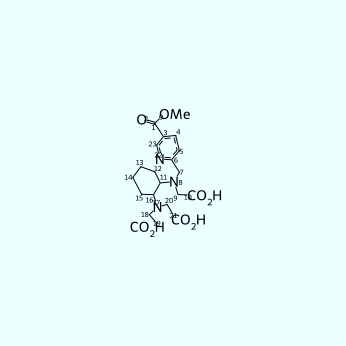 COC(=O)c1ccc(CN(CC(=O)O)C2CCCCC2N(CC(=O)O)CC(=O)O)nc1